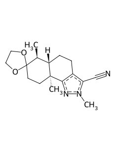 C[C@H]1[C@@H]2CCc3c(nn(C)c3C#N)[C@@]2(C)CCC12OCCO2